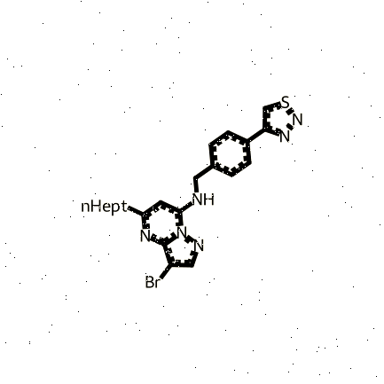 CCCCCCCc1cc(NCc2ccc(-c3csnn3)cc2)n2ncc(Br)c2n1